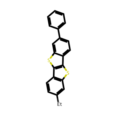 CCc1ccc2c(c1)sc1c3ccc(-c4ccccc4)cc3sc21